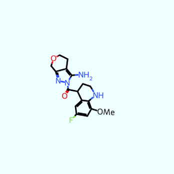 COc1cc(F)cc2c1NCCC2C(=O)n1nc2c(c1N)CCOC2